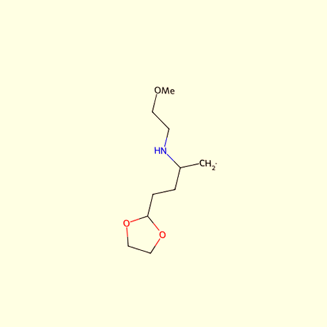 [CH2]C(CCC1OCCO1)NCCOC